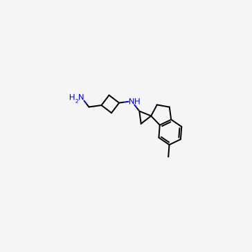 Cc1ccc2c(c1)C1(CC2)CC1NC1CC(CN)C1